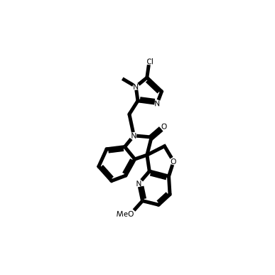 COc1ccc2c(n1)C1(CO2)C(=O)N(Cc2ncc(Cl)n2C)c2ccccc21